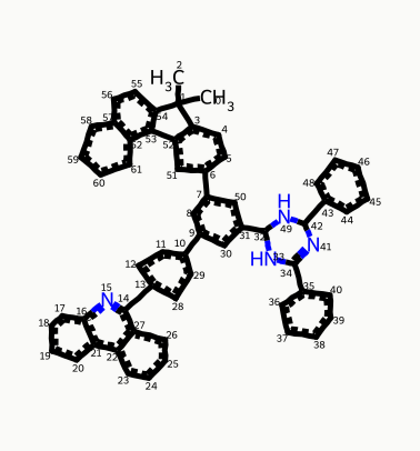 CC1(C)c2ccc(-c3cc(-c4ccc(-c5nc6ccccc6c6ccccc56)cc4)cc(C4NC(c5ccccc5)=NC(c5ccccc5)N4)c3)cc2-c2c1ccc1ccccc21